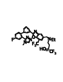 CCN(CC[C@@H](O)C(F)(F)F)Cc1cc(C(F)(F)F)c2oc(-c3cccc(-c4ccc(F)cc4-c4nncn4C)c3)nc2c1